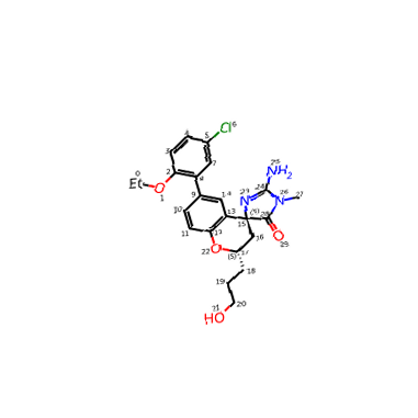 CCOc1ccc(Cl)cc1-c1ccc2c(c1)[C@]1(C[C@H](CCCO)O2)N=C(N)N(C)C1=O